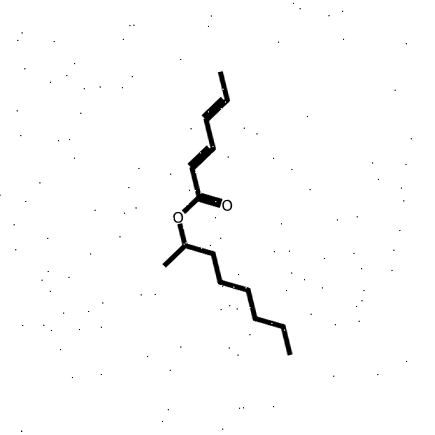 CC=CC=CC(=O)OC(C)CCCCCC